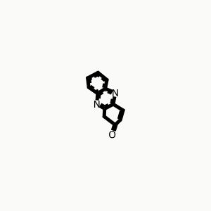 O=C1C=Cc2nc3ccccc3nc2C1